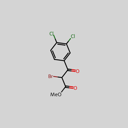 COC(=O)C(Br)C(=O)c1ccc(Cl)c(Cl)c1